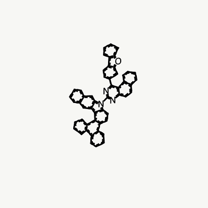 c1ccc2cc3c(cc2c1)c1c2c4ccccc4c4ccccc4c2ccc1n3-c1nc(-c2ccc3c(c2)oc2ccccc23)c2c(ccc3ccccc32)n1